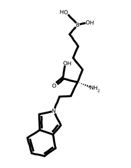 N[C@](CCCCB(O)O)(CCn1cc2ccccc2c1)C(=O)O